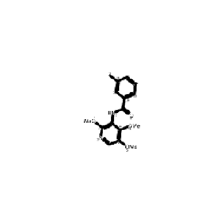 COc1cnc(OC)c(NC(=O)c2cccc(C)c2)c1OC